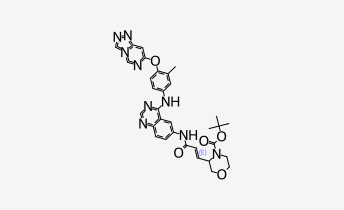 Cc1cc(Nc2ncnc3ccc(NC(=O)/C=C/C4COCCN4C(=O)OC(C)(C)C)cc23)ccc1Oc1cc2nncn2cn1